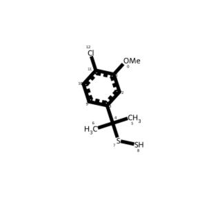 COc1cc(C(C)(C)SS)ccc1Cl